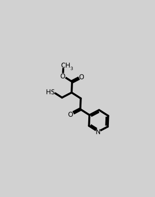 COC(=O)C(CS)CC(=O)c1cccnc1